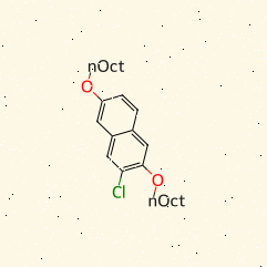 CCCCCCCCOc1ccc2cc(OCCCCCCCC)c(Cl)cc2c1